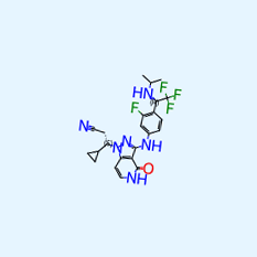 CC(C)N[C@H](c1ccc(Nc2nn([C@@H](CC#N)C3CC3)c3cc[nH]c(=O)c23)cc1F)C(F)(F)F